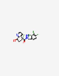 O=C1CC[C@@](F)(C(=O)NCc2ccc(F)c(Cl)c2F)c2cccnc21